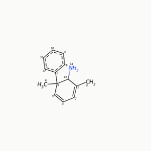 CC1=CC=CC(C)(c2ccccc2)C1N